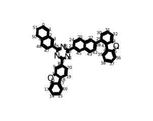 C1=Cc2cc(-c3nc(C4=CC5Oc6ccccc6C5C=C4)nc(-c4ccc5cc(-c6cccc7oc8ccccc8c67)ccc5c4)n3)ccc2CC1